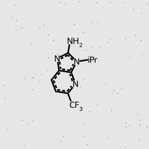 CC(C)n1c(N)nc2ccc(C(F)(F)F)nc21